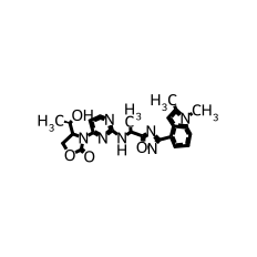 Cc1cc2c(-c3noc(C(C)Nc4nccc(N5C(=O)OCC5[C@@H](C)O)n4)n3)cccc2n1C